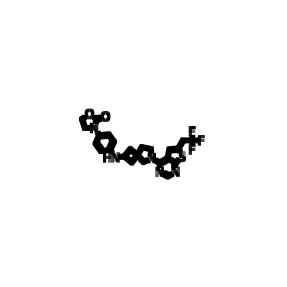 O=C1OCCN1c1ccc(NC2CC3(CCN(c4ncnc5sc(CC(F)(F)F)cc45)C3)C2)cc1